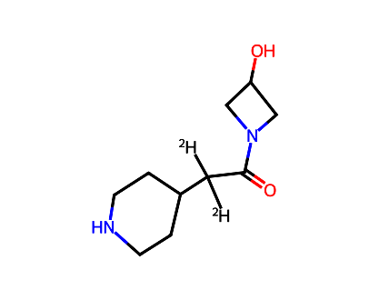 [2H]C([2H])(C(=O)N1CC(O)C1)C1CCNCC1